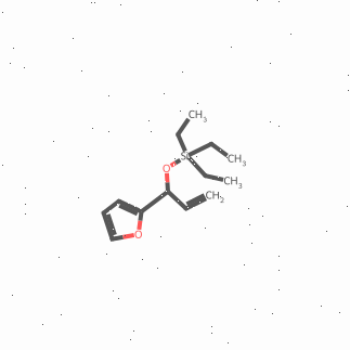 C=CC(O[Si](CC)(CC)CC)c1ccco1